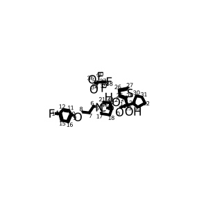 O=C(O[C@H]1C[N+]2(CCCOc3ccc(F)cc3)CCC1CC2)[C@](O)(c1cccs1)C1CCCC1.O=C([O-])C(F)(F)F